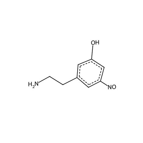 NCCc1cc(O)cc(N=O)c1